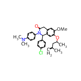 C=C(C)CC(C)Oc1cc2c(cc1OC)CC(=O)N(c1ccc(N(C)C)cc1)C2c1ccc(Cl)cc1